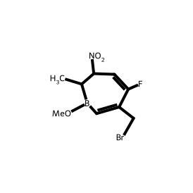 COB1C=C(CBr)C(F)=CC([N+](=O)[O-])C1C